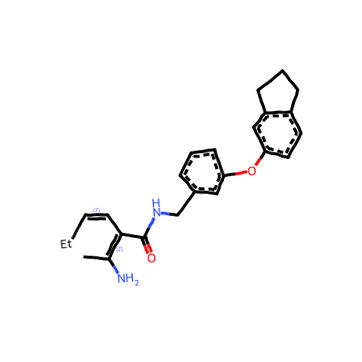 CC/C=C\C(C(=O)NCc1cccc(Oc2ccc3c(c2)CCC3)c1)=C(/C)N